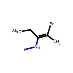 CC/C(C)=C(\COC)NI